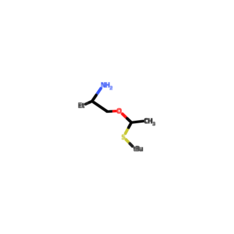 CCC(N)COC(C)SC(C)(C)C